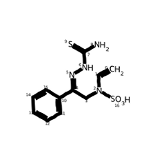 C=CN(CC(=NNC(N)=S)c1ccccc1)S(=O)(=O)O